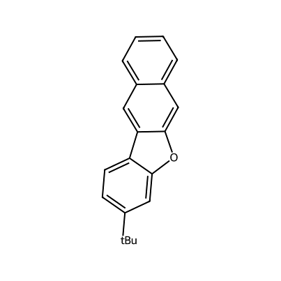 CC(C)(C)c1ccc2c(c1)oc1cc3ccccc3cc12